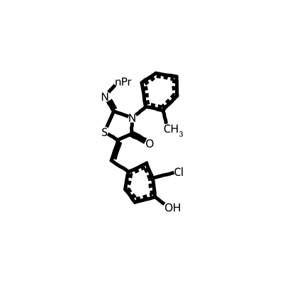 CCCN=C1SC(=Cc2ccc(O)c(Cl)c2)C(=O)N1c1ccccc1C